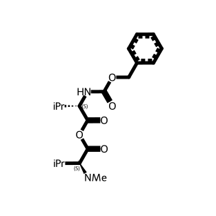 CN[C@H](C(=O)OC(=O)[C@@H](NC(=O)OCc1ccccc1)C(C)C)C(C)C